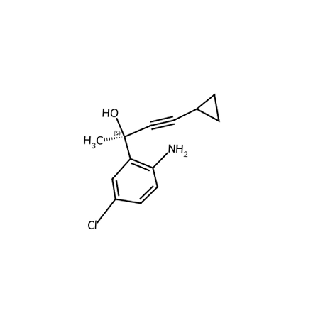 C[C@](O)(C#CC1CC1)c1cc(Cl)ccc1N